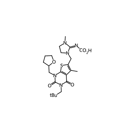 Cc1c(CN2CCN(C)C2=NC(=O)O)sc2c1c(=O)n(CC(C)(C)C)c(=O)n2CC1CCCO1